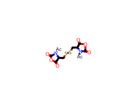 CC(=O)N1C(=O)OC(=O)C1CSSCC1C(=O)OC(=O)N1C(C)=O